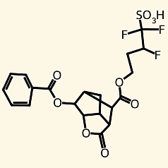 O=C(OC1C2CC3C1OC(=O)C3C2C(=O)OCCC(F)C(F)(F)S(=O)(=O)O)c1ccccc1